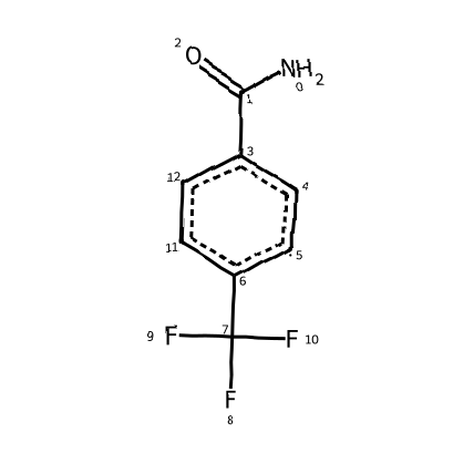 NC(=O)c1c[c]c(C(F)(F)F)cc1